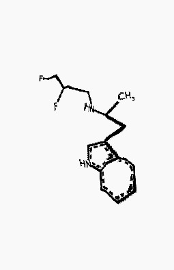 CC(Cc1c[nH]c2ccccc12)NCC(F)CF